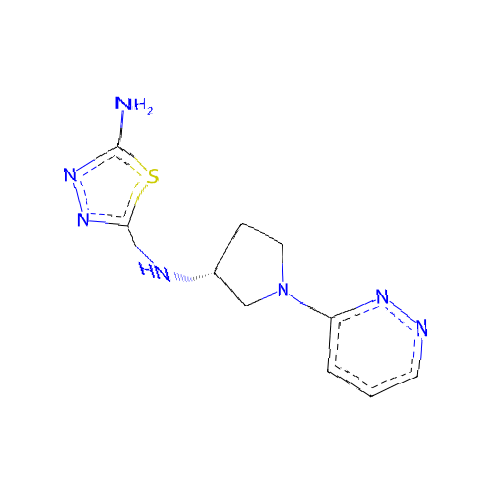 Nc1nnc(N[C@@H]2CCN(c3cccnn3)C2)s1